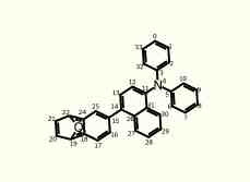 c1ccc(N(c2ccccc2)c2ccc(-c3ccc4c5ccc(o5)c4c3)c3ccccc23)cc1